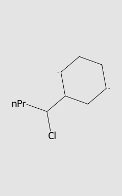 CCCC(Cl)C1[CH]CC[CH]C1